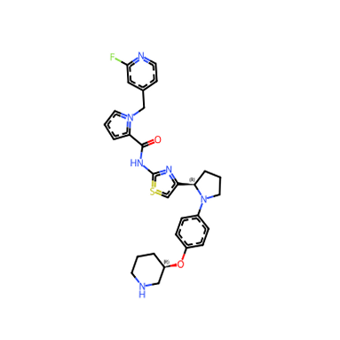 O=C(Nc1nc([C@H]2CCCN2c2ccc(O[C@@H]3CCCNC3)cc2)cs1)c1cccn1Cc1ccnc(F)c1